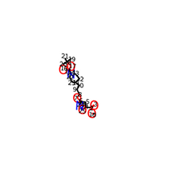 COC(=O)c1cc(OCCCC2CCN(C(=O)OC(C)(C)C)CC2)no1